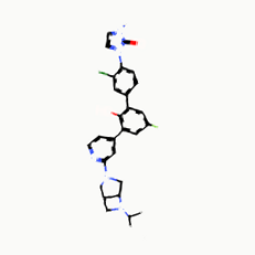 CC(C)N1CC2CN(c3cc(-c4cc(F)cc(-c5ccc(-n6ccn(C)c6=O)c(Cl)c5)c4O)ccn3)CC21